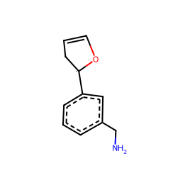 NCc1cccc([C]2CC=CO2)c1